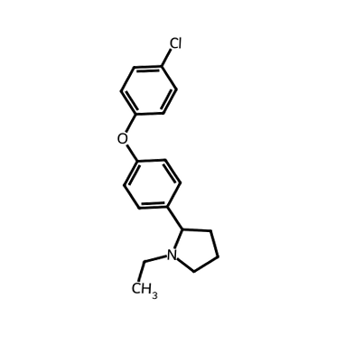 CCN1CCCC1c1ccc(Oc2ccc(Cl)cc2)cc1